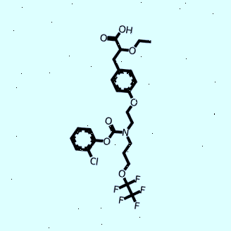 CCOC(Cc1ccc(OCCN(CCCOC(F)(F)C(F)(F)F)C(=O)Oc2ccccc2Cl)cc1)C(=O)O